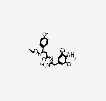 CCON=C(CC(=O)N=C(N)Cc1cc(Cl)c(N)c(Cl)c1)c1ccc(OC)cc1